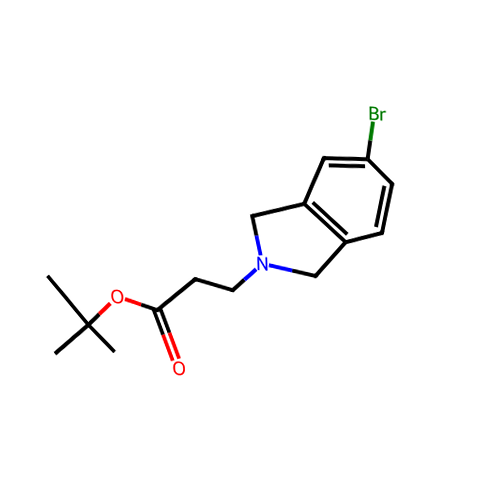 CC(C)(C)OC(=O)CCN1Cc2ccc(Br)cc2C1